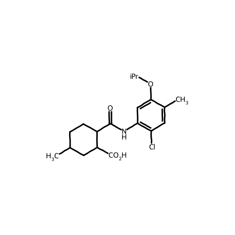 Cc1cc(Cl)c(NC(=O)C2CCC(C)CC2C(=O)O)cc1OC(C)C